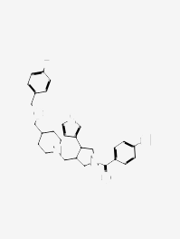 O=C(c1ccc(Cl)cc1)N1CC(CN2CCC(COCc3ccc(F)cc3)CC2)C(c2ccsc2)C1